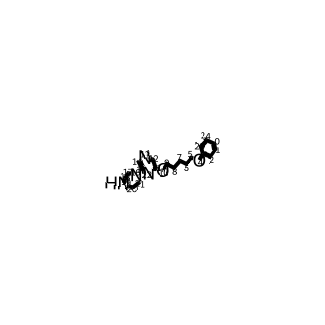 c1ccc(OCCCCCOc2cncc(N3CCNCC3)n2)cc1